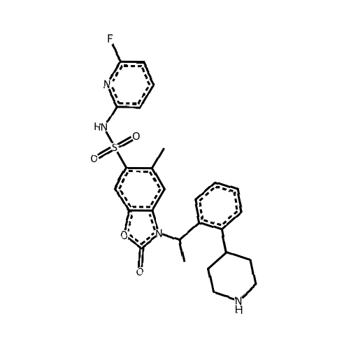 Cc1cc2c(cc1S(=O)(=O)Nc1cccc(F)n1)oc(=O)n2C(C)c1ccccc1C1CCNCC1